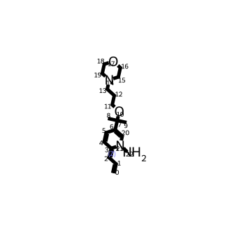 C=C/C=C1/C=CC(C(C)(C)OCCCN2CCOCC2)=CN1N